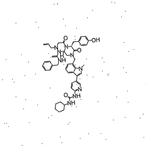 C=CCN1CC(=O)N2[C@@H](Cc3ccc(O)cc3)C(=O)N(Cc3cccc4c(-c5ccc(NC(=O)NC6CCCCC6)nc5)cn(C)c34)C[C@@H]2N1C(=C)NCc1ccccc1